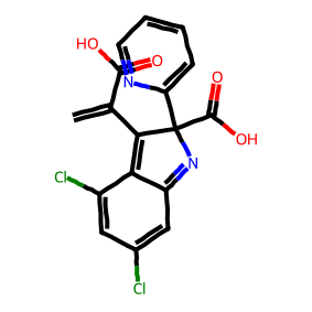 C=C(C(=O)O)C1=c2c(Cl)cc(Cl)cc2=NC1(C(=O)O)c1ccccn1